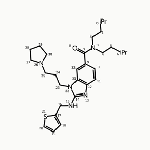 CC(C)CCN(CCC(C)C)C(=O)c1ccc2nc(NCc3cccs3)n(CCCN3CCCC3)c2c1